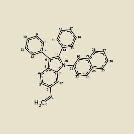 C=Cc1ccc2c(-c3ccccc3)c(-c3ccccc3)n(-c3ccc4ccccc4c3)c2c1